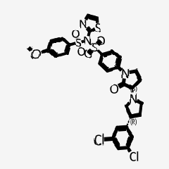 COc1ccc(S(=O)(=O)N(c2nccs2)S(=O)(=O)c2ccc(N3CC[C@H](N4CC[C@H](c5cc(Cl)cc(Cl)c5)C4)C3=O)cc2)cc1